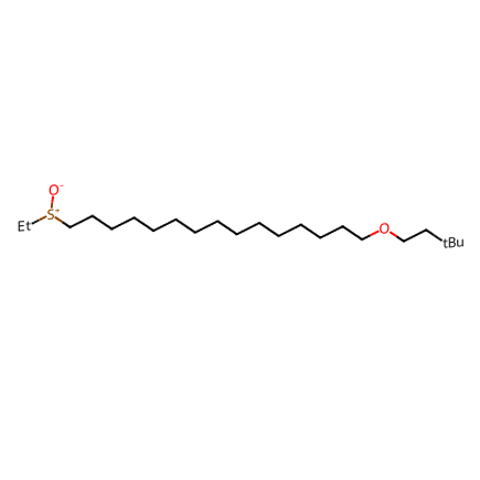 CC[S+]([O-])CCCCCCCCCCCCCCCOCCC(C)(C)C